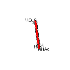 CC(=O)NCC(=O)NCC(=O)NCCOCCOCCOCCOCCOCCOCCOCCOCCOCCOCCOCCOCCC(=O)O